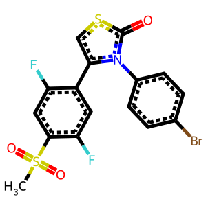 CS(=O)(=O)c1cc(F)c(-c2csc(=O)n2-c2ccc(Br)cc2)cc1F